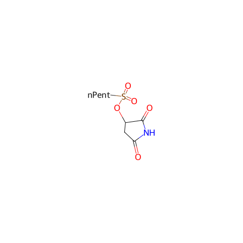 CCCCCS(=O)(=O)OC1CC(=O)NC1=O